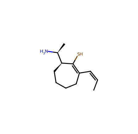 C/C=C\C1=C(S)[C@H]([C@H](C)N)CCCC1